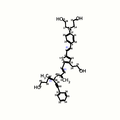 C=C(/C=C/c1sc(/C=C/c2ccc(N(CCO)CCO)cc2)cc1CCO)S/C(C#Cc1ccccc1)=C(\C)CCO